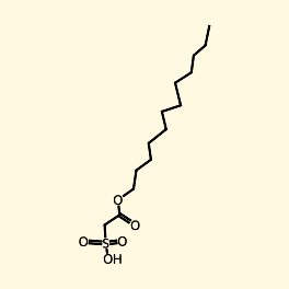 CCCCCCCCCCCCOC(=O)CS(=O)(=O)O